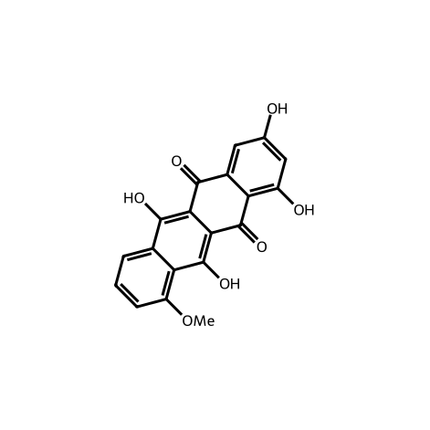 COc1cccc2c(O)c3c(c(O)c12)C(=O)c1c(O)cc(O)cc1C3=O